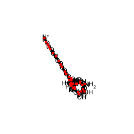 CC[C@H](C)[C@@H]1NC(=O)CNC(=O)[C@@H]2Cc3c([nH]c4c(CSCCOCCOCCOCCOCCOCCOCCOCCOCCOCCOCCOCCN=[N+]=[N-])c(O)ccc34)[S+]([O-])CC(C)(NC(=O)CNC1=O)C(=O)NC(CC(N)=O)C(=O)N1C[C@H](O)CC1C(=O)N[C@@H]([C@@H](C)[C@@H](O)CO)C(=O)N2